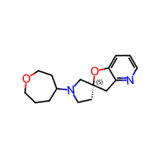 c1cnc2c(c1)O[C@@]1(CCN(C3CCCOCC3)C1)C2